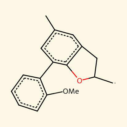 [CH2]C1Cc2cc(C)cc(-c3ccccc3OC)c2O1